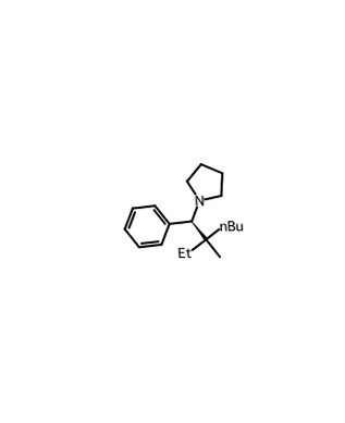 CCCCC(C)(CC)[C@@H](c1ccccc1)N1CCCC1